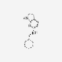 c1cc2c(nc1NCC1CCCCC1)NCC2